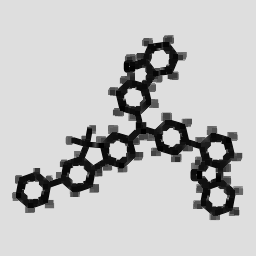 CC1(C)c2cc(-c3ccccc3)ccc2-c2ccc(N(c3ccc(-c4cccc5c4oc4ccccc45)cc3)c3ccc4oc5ccccc5c4c3)cc21